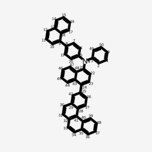 c1ccc(N(c2ccc(-c3cccc4ccccc34)cc2)c2ccc(-c3ccc4c(ccc5ccc6ccccc6c54)c3)c3ccccc23)cc1